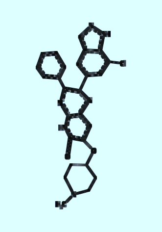 CN1CCC(Oc2cc3nc(-c4cc(Cl)c5[nH]ncc5c4)c(-c4ccccc4)nc3[nH]c2=O)CC1